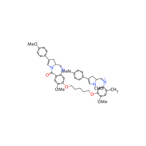 CNc1ccc(C2=CN(C=O)C(/C=N\c3cc(OCCCCCOc4cc5c(cc4OC)C(=O)N4C=C(c6ccc(OC)cc6)CC4C=N5)c(OC)cc3C)C2)cc1